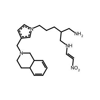 NCC(CCCn1ccc(CN2CCC3C=CC=CC3C2)c1)CNC=C[N+](=O)[O-]